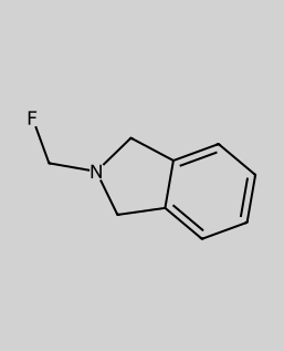 FCN1Cc2ccccc2C1